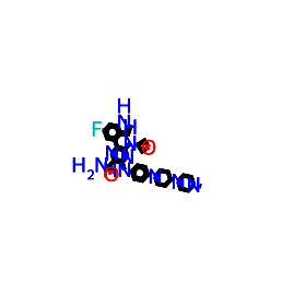 CN1CCN(C2CCN(c3ccc(Nc4nc(NC5COC5)c(-c5cc(F)cc6[nH]ccc56)nc4C(N)=O)cc3)CC2)CC1